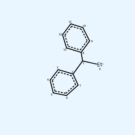 C[C][C](c1ccccc1)c1ccccc1